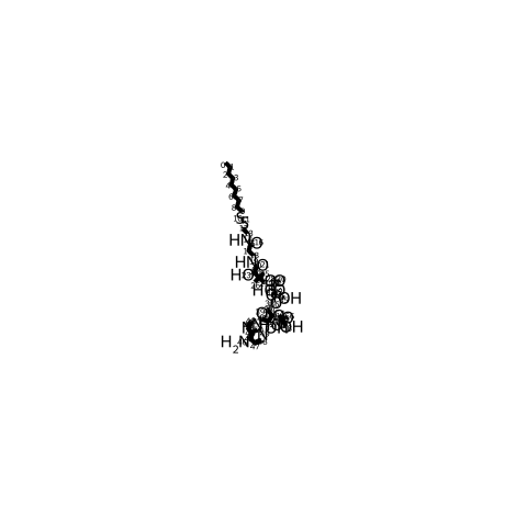 CCCCCCCCCCSSCCNC(=O)CCNC(=O)[C@@H](O)C(C)(C)COP(=O)(O)OP(=O)(O)OC[C@H]1O[C@@H](n2cnc3c(N)ccnc32)C(O)[C@H]1OP(=O)(O)O